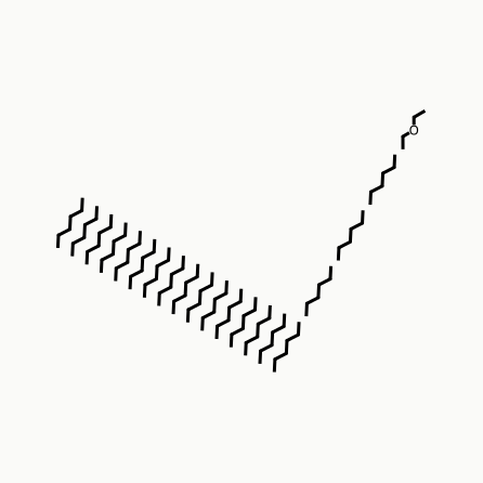 CCCCCC.CCCCCC.CCCCCC.CCCCCC.CCCCCC.CCCCCC.CCCCCC.CCCCCC.CCCCCC.CCCCCC.CCCCCC.CCCCCC.CCCCCC.CCCCCC.CCCCCC.CCCCCC.CCCCCC.CCCCCC.CCCCCC.CCOCC